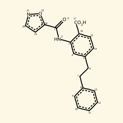 O=C(Nc1cc(CCc2ccccc2)ccc1C(=O)O)c1ccno1